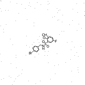 COc1ccc(F)cc1S(=O)(=O)NCc1ccc(Br)cc1